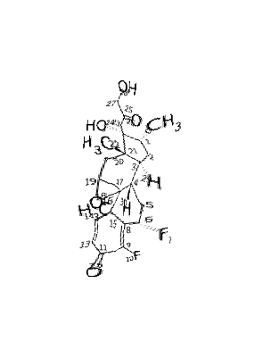 C[C@@H]1C[C@H]2[C@@H]3C[C@H](F)C4=C(F)C(=O)C=C[C@]4(C)C34OC4C[C@]2(C)[C@@]1(O)C(=O)CO